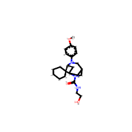 CCOc1ccc(N2CC3CN(C(=O)NCCO)C4(C3)CC2C42CCCCC2)cc1